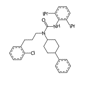 CC(C)c1cccc(C(C)C)c1NC(=O)N(CCCc1ccccc1Cl)C1CCC(c2ccccc2)CC1